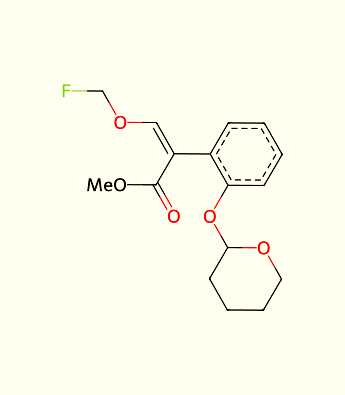 COC(=O)C(=COCF)c1ccccc1OC1CCCCO1